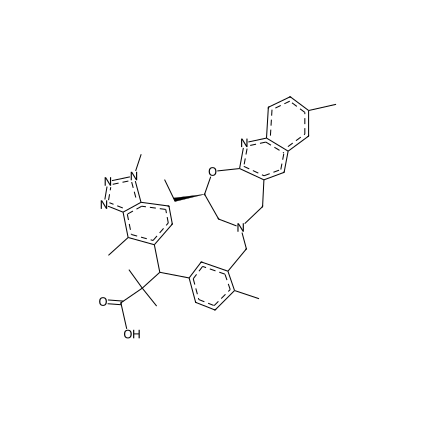 CC[C@@H]1CN(Cc2cc(C(c3ccc4c(nnn4C)c3C)C(C)(C)C(=O)O)ccc2C)Cc2cc3cc(C)ccc3nc2O1